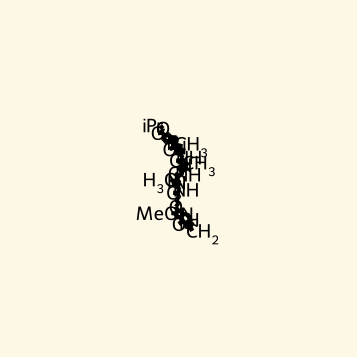 C=C1C[C@H]2C=Nc3cc(OCCCC(=O)Nc4cn(C)c(C(=O)Nc5cc(C(=O)Nc6cc(C(=O)n7ccc8cc(C(=O)OC(C)C)ccc87)n(C)c6)n(C)c5)n4)c(OC)cc3C(=O)N2C1